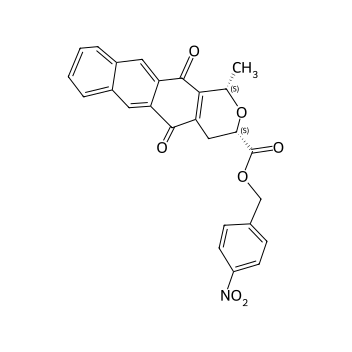 C[C@@H]1O[C@H](C(=O)OCc2ccc([N+](=O)[O-])cc2)CC2=C1C(=O)c1cc3ccccc3cc1C2=O